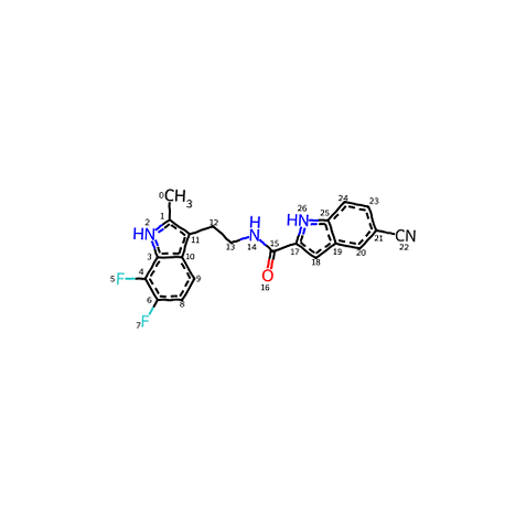 Cc1[nH]c2c(F)c(F)ccc2c1CCNC(=O)c1cc2cc(C#N)ccc2[nH]1